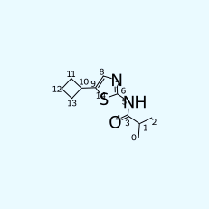 CC(C)C(=O)Nc1ncc(C2CCC2)s1